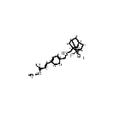 COC(=O)/C=C/C1=CC=C(CNCC23CC4CC(CC(C4)[C@@H]2C)C3)CC1